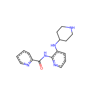 O=C(Nc1ncccc1NC1CCNCC1)c1ccccn1